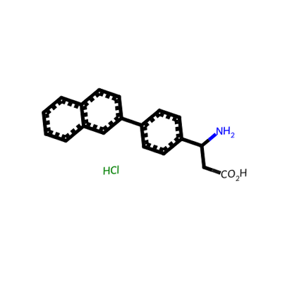 Cl.NC(CC(=O)O)c1ccc(-c2ccc3ccccc3c2)cc1